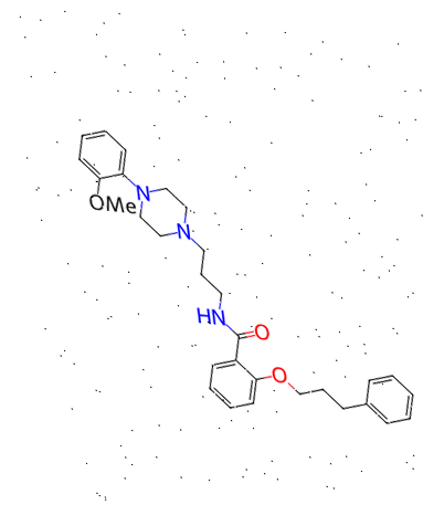 COc1ccccc1N1CCN(CCCNC(=O)c2ccccc2OCCCc2ccccc2)CC1